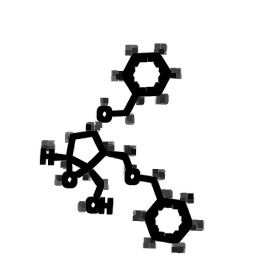 OC[C@@]12O[C@@H]1C[C@H](OCc1ccccc1)[C@H]2COCc1ccccc1